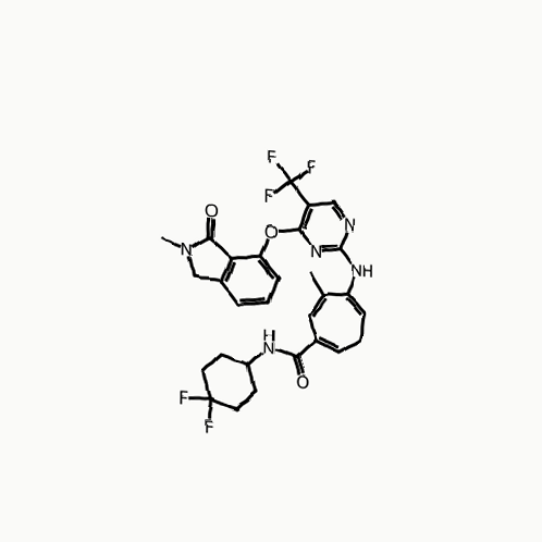 CC1=CC(C(=O)NC2CCC(F)(F)CC2)=CCC=C1Nc1ncc(C(F)(F)F)c(Oc2cccc3c2C(=O)N(C)C3)n1